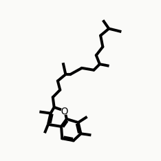 CC1=C(C)C(CCCC(C)CCCC(C)CCCC(C)C)Oc2c1ccc(C)c2C